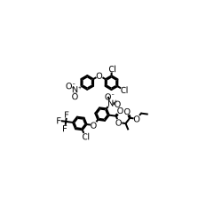 CCOC(=O)C(C)OC(=O)c1cc(Oc2ccc(C(F)(F)F)cc2Cl)ccc1[N+](=O)[O-].O=[N+]([O-])c1ccc(Oc2ccc(Cl)cc2Cl)cc1